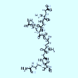 N=C(N)NCCC[C@H](NC(=O)CNC(=O)[C@@H](N)CCC(=O)OC(Cl)C(=O)[C@H](CCCNC(=N)N)NC(=O)CNC(=O)[C@@H](N)CCC(=O)O)C(=O)C(Cl)C=O